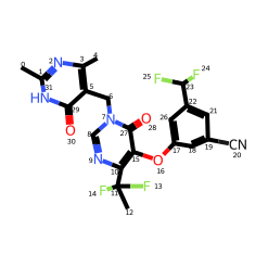 Cc1nc(C)c(Cn2cnc(C(C)(F)F)c(Oc3cc(C#N)cc(C(F)F)c3)c2=O)c(=O)[nH]1